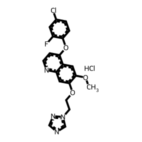 COc1cc2c(Oc3ccc(Cl)cc3F)ccnc2cc1OCCn1cncn1.Cl